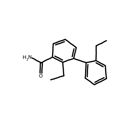 CCc1ccccc1-c1cccc(C(N)=O)c1CC